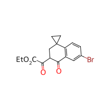 CCOC(=O)C(=O)C1CC2(CC2)c2ccc(Br)cc2C1=O